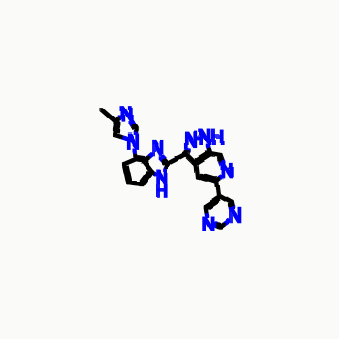 Cc1cn(-c2cccc3[nH]c(-c4n[nH]c5cnc(-c6cncnc6)cc45)nc23)cn1